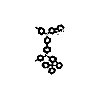 Cc1ccc(N(c2ccc(-c3ccc(N(c4ccc(C)cc4)c4ccc5c(c4)sc4ncccc45)cc3)cc2)c2ccc3c(c2)C(c2ccccc2)(c2ccccc2)c2ccccc2-3)cc1